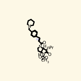 CCC[C@H]1C(=O)N(S(C)(=O)=O)[C@H]2CCN(C(=O)/C=C/c3ccc(CN4CCCCC4)cc3)[C@H]12